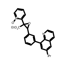 CCOC(=O)C1(c2cccc[n+]2[O-])OC1c1cccc(-c2cc(C(C)C)cc3cccnc23)c1